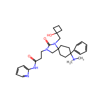 CN(C)C1(c2ccccc2)CCC2(CC1)CN(CCC(=O)Nc1ccccn1)C(=O)N2CC1(O)CCC1